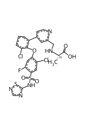 C[C@H](NCc1cc(-c2cccc(Cl)c2Oc2cc(F)c(S(=O)(=O)Nc3ncns3)cc2Cl)ccn1)C(=O)O